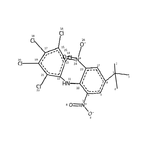 CC(C)(C)c1cc([N+](=O)[O-])c(Nc2c(Cl)c(Cl)c(Cl)c(Cl)c2Cl)c([N+](=O)[O-])c1